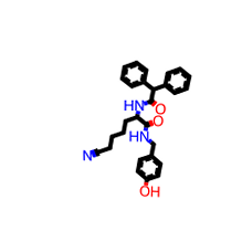 N#CCCCCC(NC(=O)C(c1ccccc1)c1ccccc1)C(=O)NCc1ccc(O)cc1